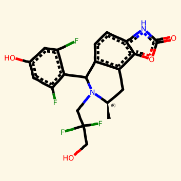 C[C@@H]1Cc2c(ccc3[nH]c(=O)oc23)C(c2c(F)cc(O)cc2F)N1CC(F)(F)CO